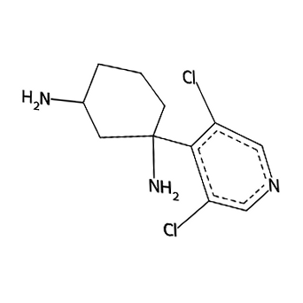 NC1CCCC(N)(c2c(Cl)cncc2Cl)C1